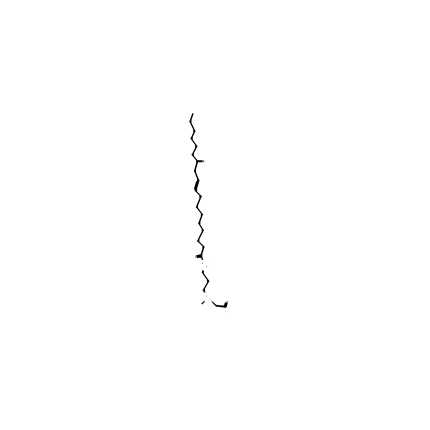 CCCCCCC(O)C/C=C/CCCCCCCC(=O)NCCC[N+](C)(C)CC(=O)O